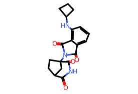 O=C1NC(=O)C2(N3C(=O)c4cccc(NC5CCC5)c4C3=O)CCC1C2